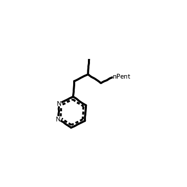 CCCCCCC(C)Cc1cccnn1